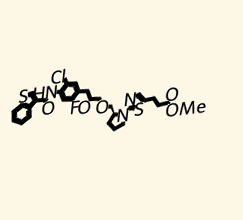 COC(=O)CCc1cnc(N2CCC[C@H]2COCC(=O)Cc2cc(Cl)c(NC(=O)c3csc4ccccc34)cc2F)s1